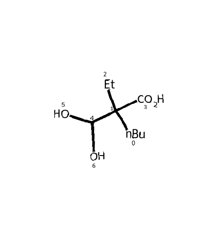 CCCCC(CC)(C(=O)O)C(O)O